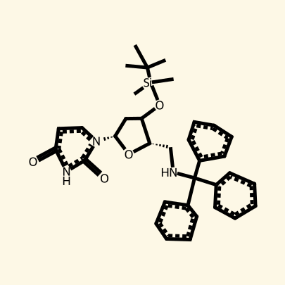 CC(C)(C)[Si](C)(C)OC1C[C@@H](n2ccc(=O)[nH]c2=O)O[C@H]1CNC(c1ccccc1)(c1ccccc1)c1ccccc1